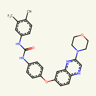 N#Cc1ccc(NC(=O)Nc2ccc(Oc3ccc4ncc(N5CCOCC5)nc4c3)cc2)cc1C(F)(F)F